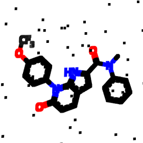 CN(C(=O)c1cc2ccc(=O)n(-c3ccc(OC(F)(F)F)cc3)c2[nH]1)c1ccccc1